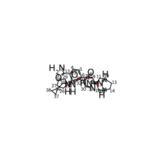 NC(=O)c1ccc(C(=O)N[C@H]2C[C@H]3CC[C@@H](C2)N3c2ccc(C(=O)NC3CCCC3)cn2)cc1NCC1CC1